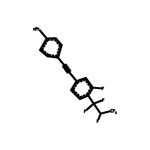 CCCc1ccc(C#Cc2ccc(C(F)(F)C(F)C(F)(F)F)c(F)c2)cc1